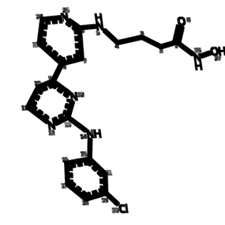 O=C(CCCNc1cc(-c2ccnc(Nc3cccc(Cl)c3)n2)ccn1)NO